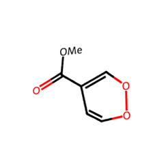 COC(=O)C1=COOC=C1